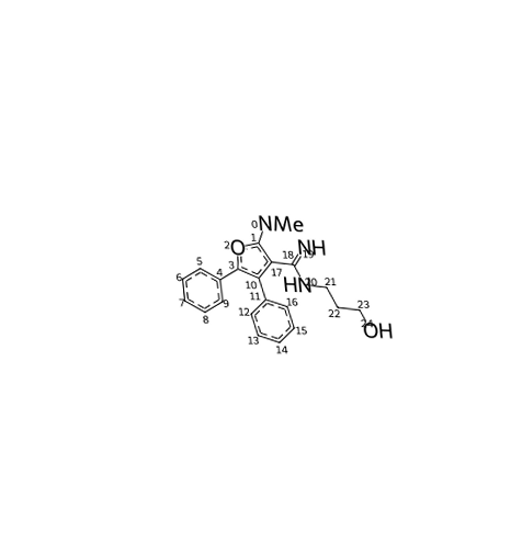 CNc1oc(-c2ccccc2)c(-c2ccccc2)c1C(=N)NCCCO